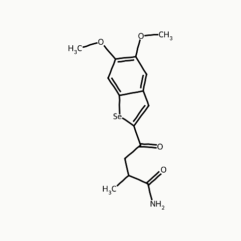 COc1cc2cc(C(=O)CC(C)C(N)=O)[se]c2cc1OC